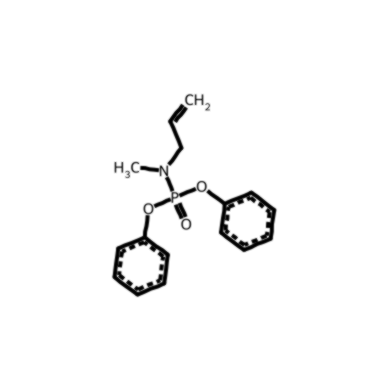 C=CCN(C)P(=O)(Oc1ccccc1)Oc1ccccc1